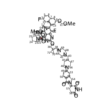 C#Cc1c(F)ccc2cc(OCOC)cc(-c3nc(OC)c4c(N5CC6CCC(C5)N6C(=O)OC(C)(C)C)nc(OCC5(CN6CCN(CC7CCN(c8ccc9c(c8)CN(C8CCC(=O)NC8=O)C9=O)CC7)CC6)CC5)nc4c3F)c12